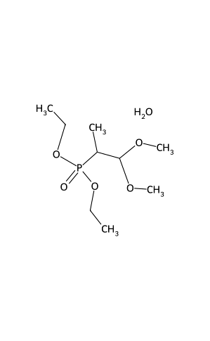 CCOP(=O)(OCC)C(C)C(OC)OC.O